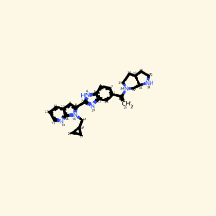 C=C(c1ccc2[nH]c(-c3cc4cccnc4n3CC3CC3)nc2c1)N1CCC2CCNC2C1